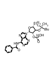 CC[C@H]1O[C@@H](n2cnc3c(NC(=O)c4ccccc4)ncnc32)[C@@H](O[PH](=O)O)C1O[Si](C)(C)C(C)(C)C